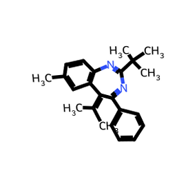 CC(C)=C1C(c2ccccc2)=NC(C(C)(C)C)=Nc2ccc(C)cc21